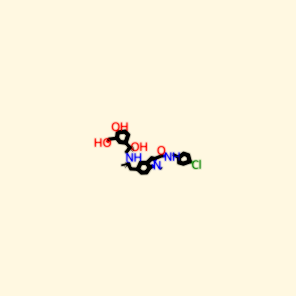 C[C@H](Cc1ccc2c(c1)cc(C(=O)NCc1ccc(Cl)cc1)n2C)NC[C@H](O)c1ccc(O)c(CO)c1